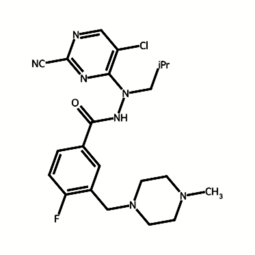 CC(C)CN(NC(=O)c1ccc(F)c(CN2CCN(C)CC2)c1)c1nc(C#N)ncc1Cl